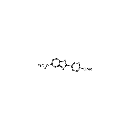 CCOC(=O)c1ccc2nc(-c3ccc(OC)nc3)sc2c1